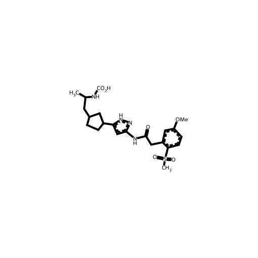 COc1ccc(S(C)(=O)=O)c(CC(=O)Nc2cc(C3CCC(CC(C)NC(=O)O)C3)[nH]n2)c1